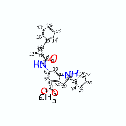 COC(=O)c1cc(NC(=O)C2C[C@H]2c2ccccc2)cc2[nH]c(-c3ccccc3)cc12